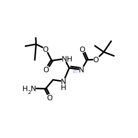 CC(C)(C)OC(=O)/N=C(/NCC(N)=O)NC(=O)OC(C)(C)C